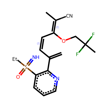 C=C(/C=C\C(OCC(C)(F)F)=C(/C)C#N)c1ncccc1S(=N)(=O)CC